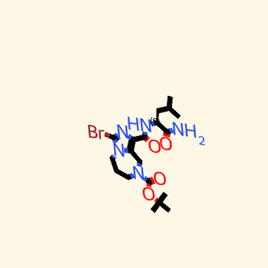 CC(C)C[C@H](NC(=O)c1nc(Br)n2c1CN(C(=O)OC(C)(C)C)CCC2)C(N)=O